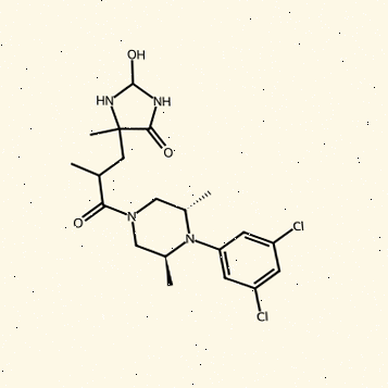 CC(CC1(C)NC(O)NC1=O)C(=O)N1C[C@H](C)N(c2cc(Cl)cc(Cl)c2)[C@@H](C)C1